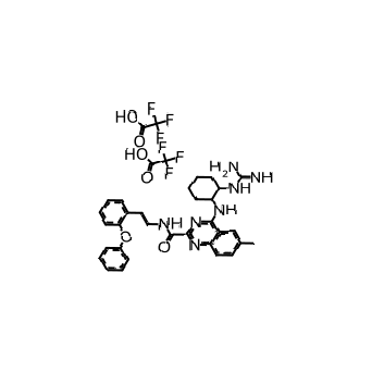 Cc1ccc2nc(C(=O)NCCc3ccccc3Oc3ccccc3)nc(NC3CCCCC3NC(=N)N)c2c1.O=C(O)C(F)(F)F.O=C(O)C(F)(F)F